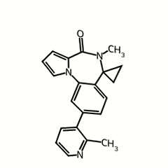 Cc1ncccc1-c1ccc2c(c1)-n1cccc1C(=O)N(C)C21CC1